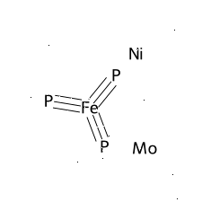 [Mo].[Ni].[P]#[Fe](#[P])#[P]